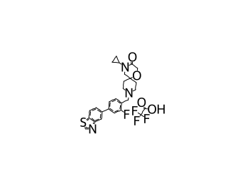 O=C(O)C(F)(F)F.O=C1COC2(CCN(Cc3ccc(-c4ccc5scnc5c4)cc3F)CC2)CN1C1CC1